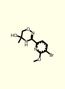 COc1nc(C2=NOCC(C)(O)N2)ccc1Br